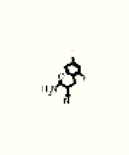 N#CC(Cc1ccc(F)cc1F)C(N)=O